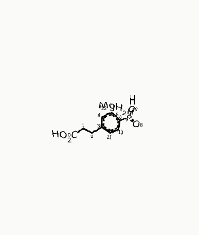 O=C(O)CCc1ccc([PH](=O)O)cc1.[MgH2]